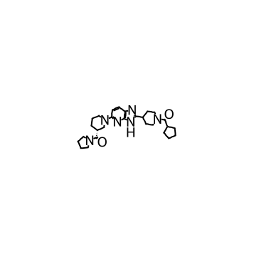 O=C(C1CCCC1)N1CCC(c2nc3ccc(N4CCC[C@@H](C(=O)N5CCCC5)C4)nc3[nH]2)CC1